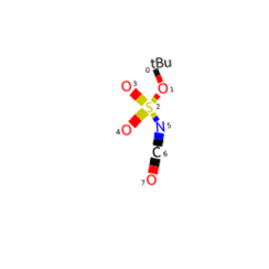 CC(C)(C)OS(=O)(=O)N=C=O